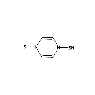 SN1C=CN(S)C=C1